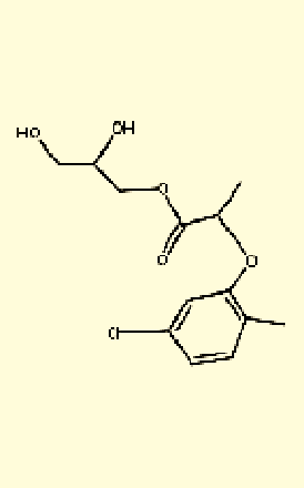 Cc1ccc(Cl)cc1OC(C)C(=O)OCC(O)CO